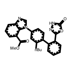 CCCCc1cc(-n2cnc3cccc(C(=O)OC)c32)ccc1-c1ccccc1-c1n[nH]c(=O)o1